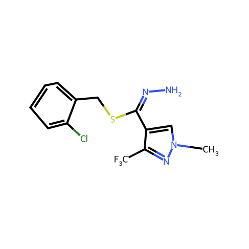 Cn1cc(C(=NN)SCc2ccccc2Cl)c(C(F)(F)F)n1